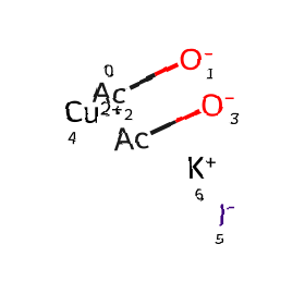 CC(=O)[O-].CC(=O)[O-].[Cu+2].[I-].[K+]